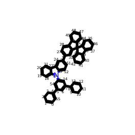 C1=CCCC(c2cc(C3=CCCC=C3)cc(-n3c4ccccc4c4cc(-c5ccc6c(c5)C5(c7ccccc7-c7ccccc75)c5ccccc5-6)ccc43)c2)=C1